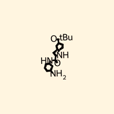 CC(C)(C)C(=O)c1ccc2[nH]c(C(=O)Nc3cccc(N)c3)cc2c1